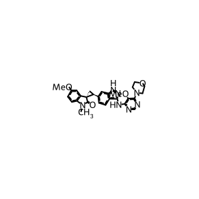 COc1ccc2c(c1)[C@]1(C[C@H]1c1ccc3c(Nc4ncnc(N5CCOCC5)c4OC)n[nH]c3c1)C(=O)N2C